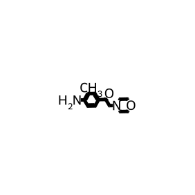 Cc1cc(C(=O)CN2CCOCC2)ccc1N